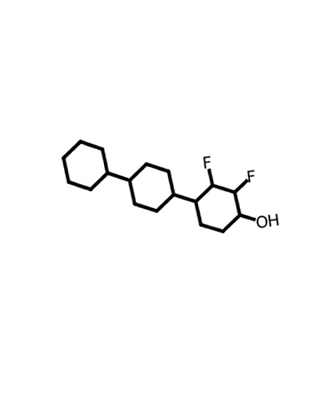 OC1CCC(C2CCC(C3CCCCC3)CC2)C(F)C1F